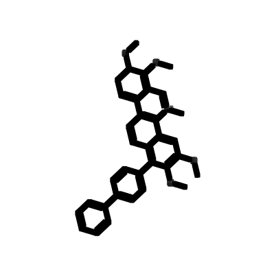 COC1=c2c[n+](C)c3c(ccc4c(-c5ccc(-c6ccccc6)cc5)c(OC)c(OC)cc43)c2=CCC1OC